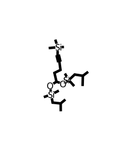 CC(C)C[Si](C)(C)OC(CCC#C[Si](C)(C)C)O[Si](C)(C)CC(C)C